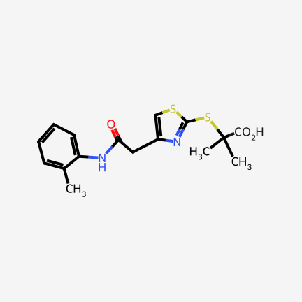 Cc1ccccc1NC(=O)Cc1csc(SC(C)(C)C(=O)O)n1